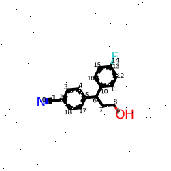 N#Cc1ccc(C(CCO)c2ccc(F)cc2)cc1